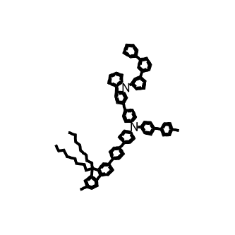 CCCCCCCCC1(CCCCCCCC)c2cc(C)ccc2-c2ccc(-c3ccc(-c4ccc(N(c5ccc(-c6ccc(C)cc6)cc5)c5ccc(-c6ccc7c8ccccc8n(-c8cccc(-c9cccc(-c%10ccccc%10)c9)c8)c7c6)cc5)cc4)cc3)cc21